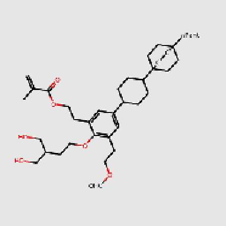 C=C(C)C(=O)OCCc1cc(C2CCC(C34CCC(CCCCC)(CC3)CC4)CC2)cc(CCOC=O)c1OCCC(CO)CO